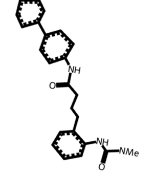 CNC(=O)Nc1ccccc1CCCC(=O)Nc1ccc(-c2ccccc2)cc1